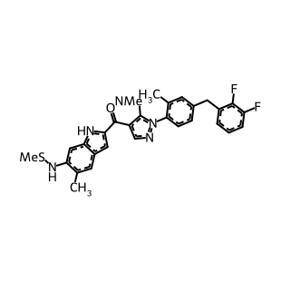 CNc1c(C(=O)c2cc3cc(C)c(NSC)cc3[nH]2)cnn1-c1ccc(Cc2cccc(F)c2F)cc1C